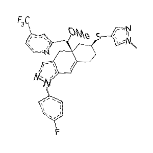 COC(c1cc(C(F)(F)F)ccn1)[C@]12Cc3cnn(-c4ccc(F)cc4)c3C=C1CC[C@H](Sc1cnn(C)c1)C2